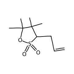 C=CCC1C(C)(C)C(C)(C)OS1(=O)=O